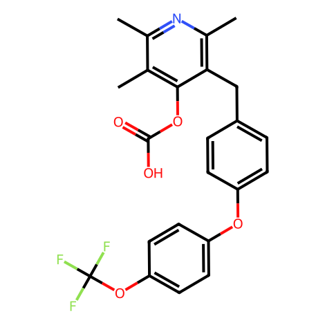 Cc1nc(C)c(Cc2ccc(Oc3ccc(OC(F)(F)F)cc3)cc2)c(OC(=O)O)c1C